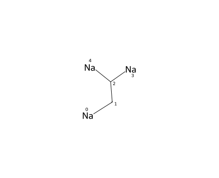 [Na][CH2][CH]([Na])[Na]